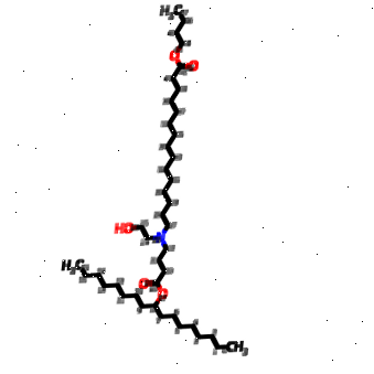 CCCCCCCCC(CCCCCCCC)OC(=O)CCCN(CCO)CCCCCCCCCCCCCCC(=O)OCCCC